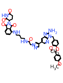 COc1ccc(COc2ccc(Cn3c(N)nc4cc(-c5cnn(CC(=O)NCCCCNc6cccc7c6C(=O)N(C6CCC(=O)NC6=O)C7=O)c5)cnc43)cc2OC)cc1